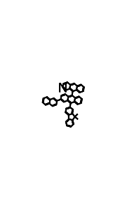 CC1(C)c2ccccc2-c2ccc(-c3c4ccccc4c(-c4c5ccccc5cc5ccncc45)c4ccc(-c5ccc6ccccc6c5)cc34)cc21